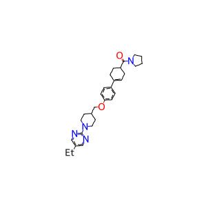 CCc1cnc(N2CCC(COc3ccc(C4=CCC(C(=O)N5CCCC5)CC4)cc3)CC2)nc1